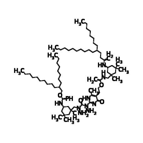 C=C(CCC(CCCCCCCC)CCCCCCCCCC)NC1CC(C)(C)CC(C)(CNC(=C)OCCc2c(C)[nH]c(N(N)C(=O)N(N)CC3(C)CC(NC(=P)OCC(CCCCCCCC)CCCCCCCCCC)CC(C)(C)C3)nc2=O)C1